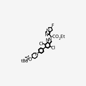 CCOC(=O)[C@@H](c1ncn2c1C[C@@H](F)C2)n1cc2c(Cl)cc(-c3ccc(N4CCC(O[Si](C)(C)C(C)(C)C)CC4)cc3)c(Cl)c2n1